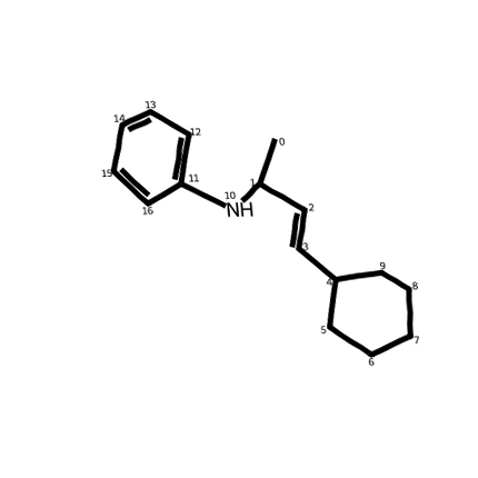 CC(C=CC1CCCCC1)Nc1ccccc1